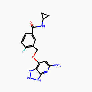 Nc1cc(OCc2cc(C(=O)NC3CC3)ccc2F)c2c(n1)NNN2